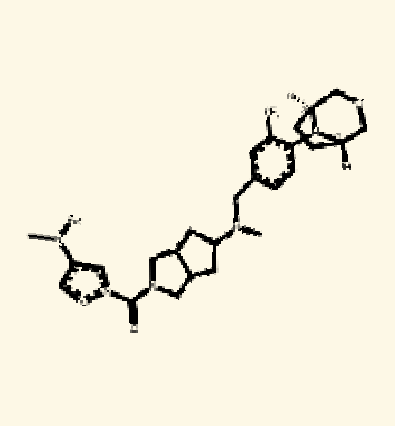 CC(=O)N(C)c1cnn(C(=O)N2CC3CC(N(C)Cc4ccc(N5[C@H]6CC[C@H]5COC6)c(C(F)(F)F)c4)CC3C2)c1